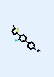 CCCc1ccc(-c2ccc(-c3ccc(C)s3)c(F)c2)cc1